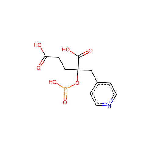 O=C(O)CCC(Cc1ccncc1)(O[PH](=O)O)C(=O)O